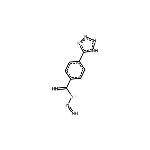 N=NNC(=N)c1ccc(-c2nnn[nH]2)cc1